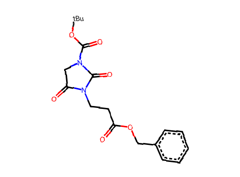 CC(C)(C)OC(=O)N1CC(=O)N(CCC(=O)OCc2ccccc2)C1=O